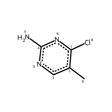 Cc1cnc(N)nc1Cl